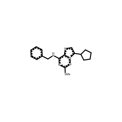 CSc1nc(NCc2ccccc2)c2ncc(C3CCCC3)n2n1